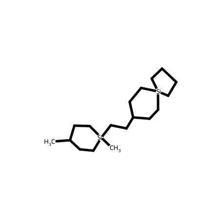 CC1CC[Si](C)(CCC2CC[Si]3(CCCC3)CC2)CC1